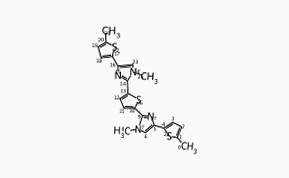 Cc1ccc(-c2cn(C)c(-c3ccc(-c4nc(-c5ccc(C)s5)cn4C)s3)n2)s1